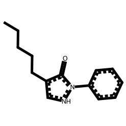 CCCCCc1c[nH]n(-c2ccccc2)c1=O